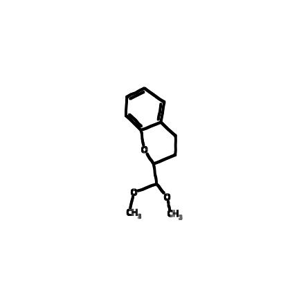 COC(OC)C1CCc2ccccc2O1